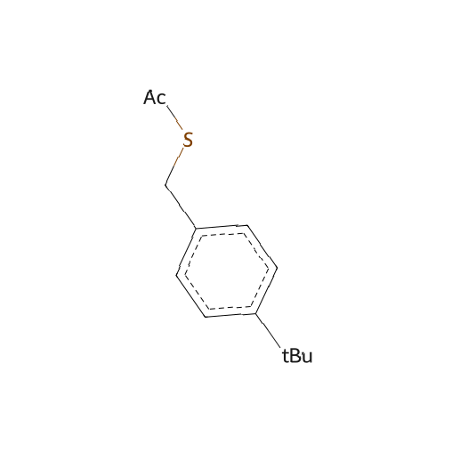 CC(=O)SCc1ccc(C(C)(C)C)cc1